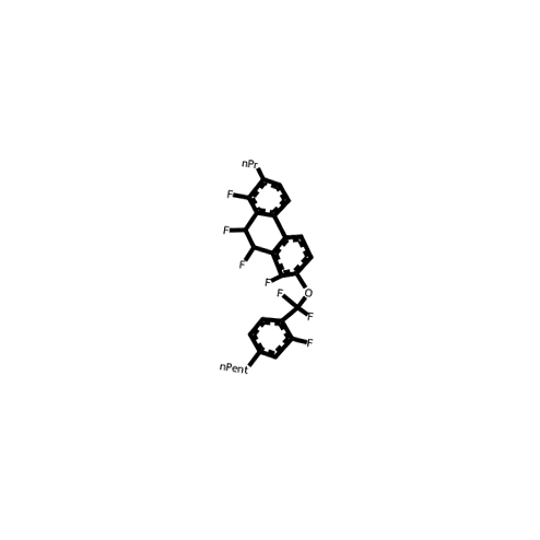 CCCCCc1ccc(C(F)(F)Oc2ccc3c(c2F)C(F)C(F)c2c-3ccc(CCC)c2F)c(F)c1